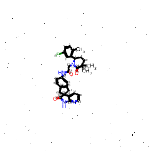 Cc1ccc(F)cc1C1CCC(C)(C)C(=O)N1CC(=O)Nc1ccc2c(c1)CC1(C2)C(=O)Nc2ncccc21